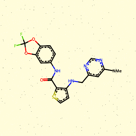 CNc1cc(CNc2ccsc2C(=O)Nc2ccc3c(c2)OC(F)(F)O3)ncn1